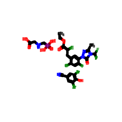 CCOC(=O)C(Cl)Cc1cc(-n2nc(C)n(C(F)F)c2=O)c(F)cc1Cl.N#Cc1cc(Br)c(O)c(Br)c1.O=C(O)CNCP(=O)(O)O